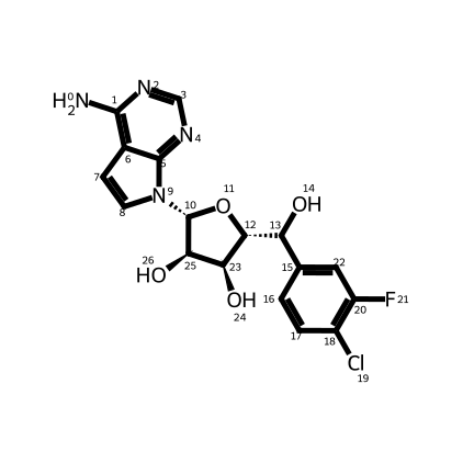 Nc1ncnc2c1ccn2[C@@H]1O[C@H](C(O)c2ccc(Cl)c(F)c2)[C@@H](O)[C@H]1O